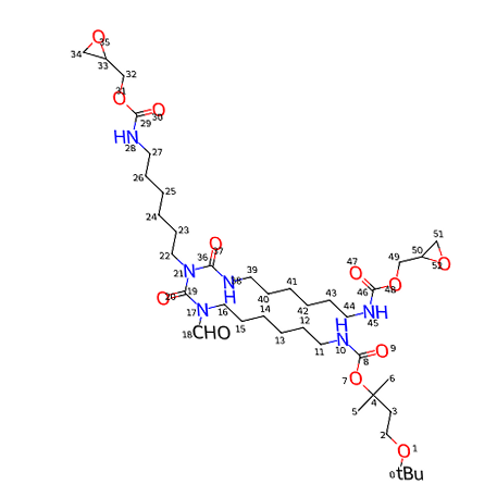 CC(C)(C)OCCC(C)(C)OC(=O)NCCCCCCN(C=O)C(=O)N(CCCCCCNC(=O)OCC1CO1)C(=O)NCCCCCCNC(=O)OCC1CO1